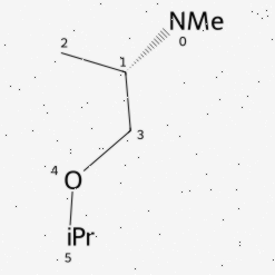 CN[C@@H](C)COC(C)C